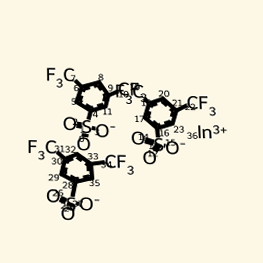 O=S(=O)([O-])c1cc(C(F)(F)F)cc(C(F)(F)F)c1.O=S(=O)([O-])c1cc(C(F)(F)F)cc(C(F)(F)F)c1.O=S(=O)([O-])c1cc(C(F)(F)F)cc(C(F)(F)F)c1.[In+3]